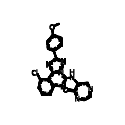 COc1ccc(-c2nc3c4c(Cl)cccc4nc(Nc4cnccnc4=O)n3n2)cc1